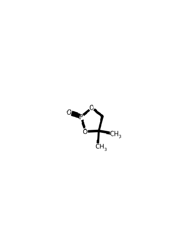 CC1(C)CO[P](=O)O1